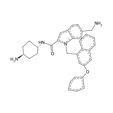 NCc1ccc2cc(C(=O)N[C@H]3CC[C@H](N)CC3)n(Cc3cc(Oc4ccccc4)cc4ccccc34)c2c1